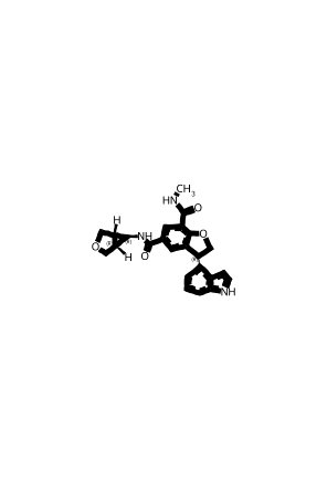 CNC(=O)c1cc(C(=O)N[C@H]2[C@@H]3COC[C@@H]32)cc2c1OC[C@@H]2c1cccc2[nH]ccc12